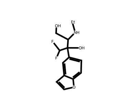 CCNC(CO)C(O)(c1ccc2occc2c1)C(F)F